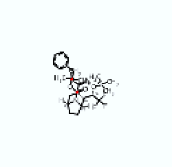 CC(C)(C)OC(=O)N1[C@@H]2CC[C@H]1[C@@H]([C@H](O[Si](C)(C)C)C(F)(F)F)N(C(=O)OCc1ccccc1)C2